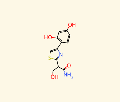 NC(=O)C(CO)c1nc(-c2ccc(O)cc2O)cs1